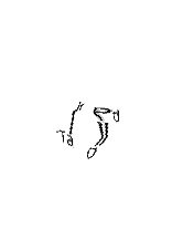 [O]=[Pd].[Ta][Ir]